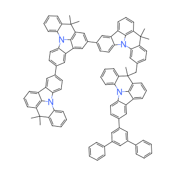 CC1(C)c2ccccc2-n2c3ccc(-c4ccc5c(c4)c4cc(-c6ccc7c(c6)c6cccc8c6n7-c6cc(CC7(C)c9ccccc9-n9c%10ccc(-c%11cc(-c%12ccccc%12)cc(-c%12ccccc%12)c%11)cc%10c%10cccc7c%109)ccc6C8(C)C)cc6c4n5-c4ccccc4C6(C)C)cc3c3cccc1c32